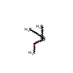 CCCCCCCC/C=C\CCCCCCCC(=O)OC(=O)C(CCCCCCCCCC)CCCCCCCCCCCC